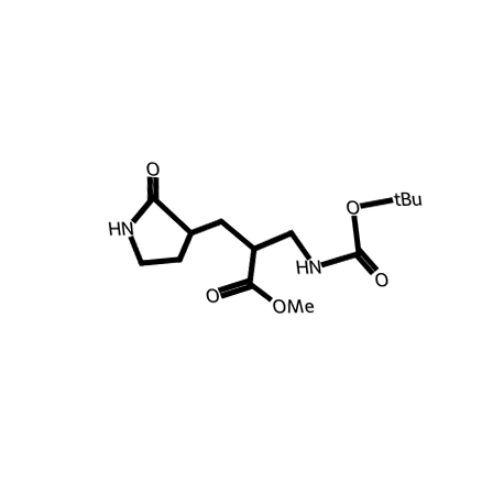 COC(=O)C(CNC(=O)OC(C)(C)C)CC1CCNC1=O